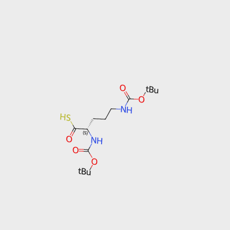 CC(C)(C)OC(=O)NCCC[C@H](NC(=O)OC(C)(C)C)C(=O)S